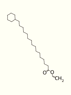 C=COC(=O)CCCCCCCCCCCCCCCC1CCCCC1